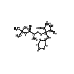 CC(C)(C)OC(=O)C(N)CCC(OC1CCOCC1)(C(=O)O)C(=O)O